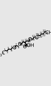 CCCCCCOCCOCCC(CCOCCOCCCCCC)C(=O)O